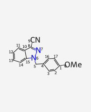 COc1ccc(Cn2nc(C#N)c3ccccc32)cc1